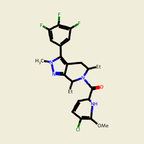 CCC1Cc2c(nn(C)c2-c2cc(F)c(F)c(F)c2)C(CC)N1C(=O)C1C=CC(Cl)=C(OC)N1